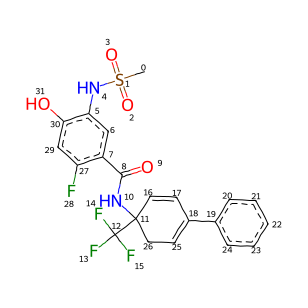 CS(=O)(=O)Nc1cc(C(=O)NC2(C(F)(F)F)C=CC(c3ccccc3)=CC2)c(F)cc1O